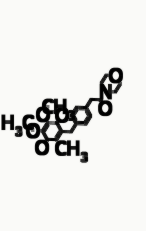 COC1=C(OC)C(=O)C(Cc2ccc(CC(=O)N3CCOCC3)cc2)=C(C)C1=O